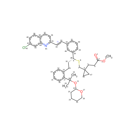 COC(=O)CCC1(CS[C@H](CCc2ccccc2C(C)(C)OC2CCCCO2)c2cccc(/C=C/c3ccc4ccc(Cl)cc4n3)c2)CC1